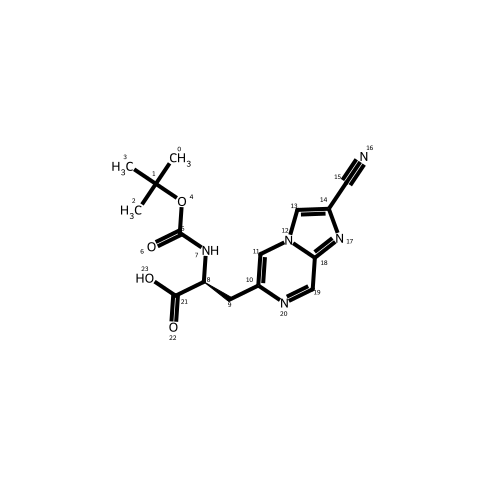 CC(C)(C)OC(=O)N[C@@H](Cc1cn2cc(C#N)nc2cn1)C(=O)O